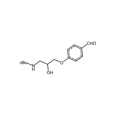 CCCCNCC(O)COc1ccc(C=O)cc1